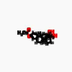 CC(=O)Oc1ccc2c(c1)CC[C@@H]1[C@@H]2CC[C@@]2(C)[C@]13CC[C@]2(O)[C@@H](O)C3